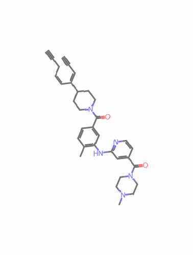 C#C/C=C(\C=C/CC#C)C1CCN(C(=O)c2ccc(C)c(Nc3cc(C(=O)N4CCN(C)CC4)ccn3)c2)CC1